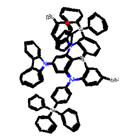 CC(C)(C)c1ccc(N2c3cc(-n4c5ccccc5c5ccccc54)cc4c3B(c3cc(C(C)(C)C)ccc3N4c3ccc([Si](c4ccccc4)(c4ccccc4)c4ccccc4)cc3)c3cccc([Si](c4ccccc4)(c4ccccc4)c4ccccc4)c32)cc1